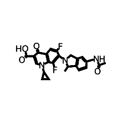 CC(=O)Nc1ccc2c(c1)CN(c1c(F)cc3c(=O)c(C(=O)O)cn(C4CC4)c3c1F)C2C